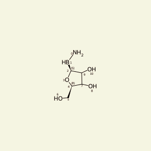 NB[C@@H]1O[C@H](CO)C(O)C1O